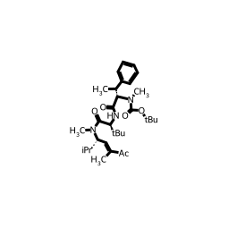 CC(=O)/C(C)=C/[C@H](C(C)C)N(C)C(=O)[C@@H](NC(=O)[C@H](C(C)c1ccccc1)N(C)C(=O)OC(C)(C)C)C(C)(C)C